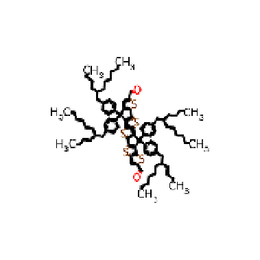 CCCCCCC(CCCC)Cc1ccc(C2(c3ccc(CC(CCCC)CCCCCC)cc3)c3cc(C=O)sc3-c3sc4c5c(sc4c32)-c2sc3cc(C=O)sc3c2C5(c2ccc(CC(CCCC)CCCCCC)cc2)c2ccc(CC(CCCC)CCCCCC)cc2)cc1